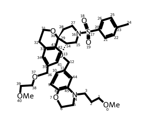 COCCCN1CCOc2ccc(CO[C@H]3CN(S(=O)(=O)c4ccc(C)cc4)CC[C@@]34OCCc3cc(COCCOC)ccc34)cc21